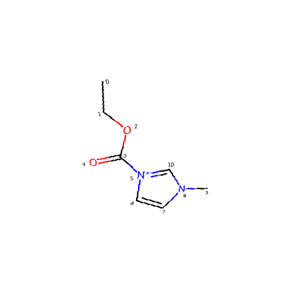 CCOC(=O)[n+]1ccn(C)c1